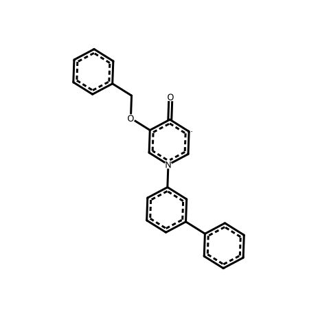 O=c1[c]cn(-c2cccc(-c3ccccc3)c2)cc1OCc1ccccc1